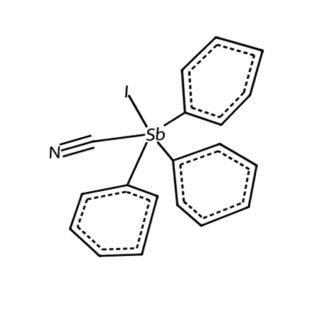 N#[C][Sb]([I])([c]1ccccc1)([c]1ccccc1)[c]1ccccc1